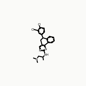 CC(CN(C)C)Nc1ncc2c(n1)-c1ccccc1C(c1ccc(Cl)c(Cl)c1)C2